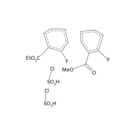 CCOC(=O)c1ccccc1F.COC(=O)c1ccccc1F.O=S(=O)(O)Cl.O=S(=O)(O)Cl